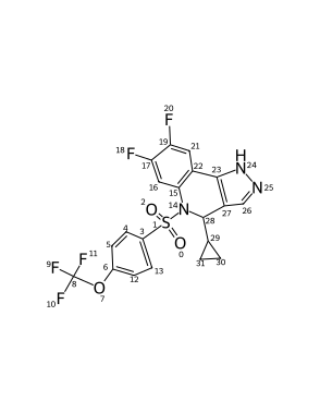 O=S(=O)(c1ccc(OC(F)(F)F)cc1)N1c2cc(F)c(F)cc2-c2[nH]ncc2C1C1CC1